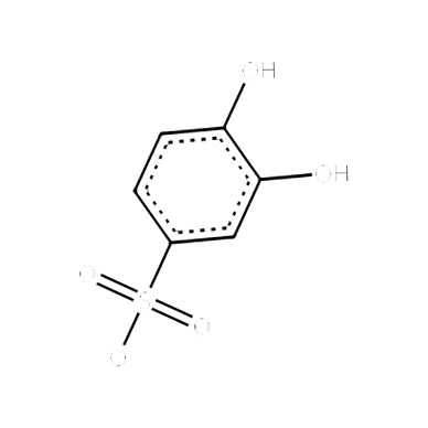 [O]S(=O)(=O)c1ccc(O)c(O)c1